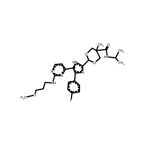 COCCCNc1nccc(-c2[nH]c(C3OCC(C)(C(=O)NC(C)C)CO3)nc2-c2ccc(F)cc2)n1